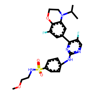 COCCNS(=O)(=O)c1ccc(Nc2ncc(F)c(-c3cc(F)c4c(c3)N(C(C)C)CCO4)n2)cc1